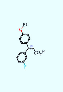 CCOc1ccc(/C(=C/C(=O)O)c2cccc(F)c2)cc1